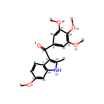 COc1ccc2c(C(=O)c3cc(OC)c(OC)c(OC)c3)c(C)[nH]c2c1